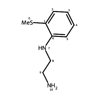 CSc1ccccc1NCCN